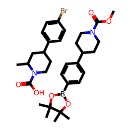 CC1CC(c2ccc(Br)cc2)CCN1C(=O)O.COC(=O)N1CCC(c2ccc(B3OC(C)(C)C(C)(C)O3)cc2)CC1